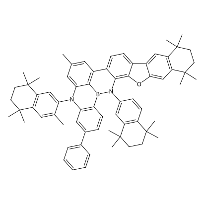 Cc1cc2c3c(c1)N(c1cc4c(cc1C)C(C)(C)CCC4(C)C)c1cc(-c4ccccc4)ccc1B3N(c1ccc3c(c1)C(C)(C)CCC3(C)C)c1c-2ccc2c1oc1cc3c(cc12)C(C)(C)CCC3(C)C